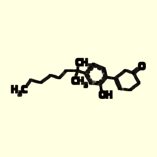 CCCCCCC(C)(C)c1ccc(C2=CCCC(=O)C2)c(O)c1